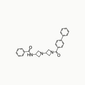 O=C(NC1CN(C2CN(C(=O)c3ccc(-c4ccccc4)cc3)C2)C1)c1ccccc1